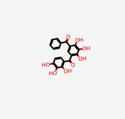 O=C(c1ccccc1)c1cc(C(=O)c2ccc(O)c(O)c2O)c(O)c(O)c1O